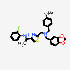 C=C(Nc1ccccc1F)c1csc(CN(Cc2ccc(OC)cc2)Cc2ccc3c(c2)OCO3)n1